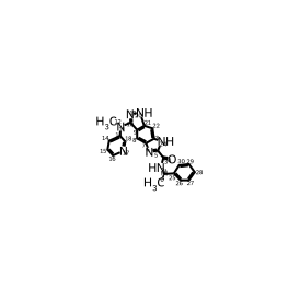 C[C@@H](NC(=O)c1nc2cc3c(N(C)c4cccnc4)n[nH]c3cc2[nH]1)c1ccccc1